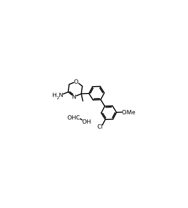 COc1cc(Cl)cc(-c2cccc(C3(C)COCC(N)=N3)c2)c1.O=CO